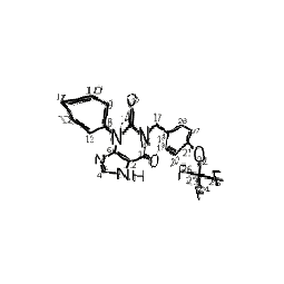 O=c1c2[nH]cnc2n(-c2ccccc2)c(=O)n1Cc1ccc(OC(F)(F)F)cc1